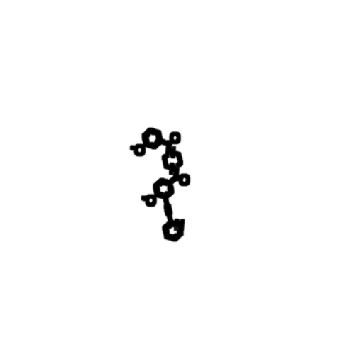 COc1cccc(C(=O)N2CCN(C(=O)c3ccc(OC)c(C#Cc4ccccn4)c3)CC2)c1